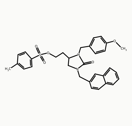 COc1ccc(CN2C(=O)N(Cc3ccc4ccccc4c3)CC2CCOS(=O)(=O)c2ccc(C)cc2)cc1